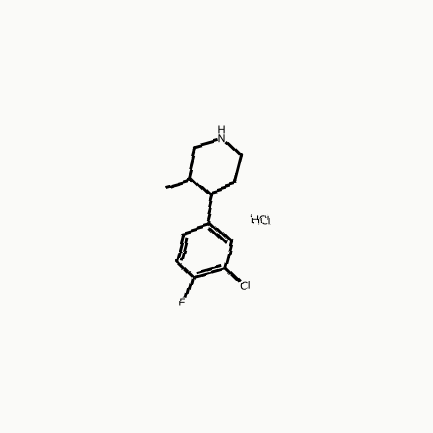 CC1CNCCC1c1ccc(F)c(Cl)c1.Cl